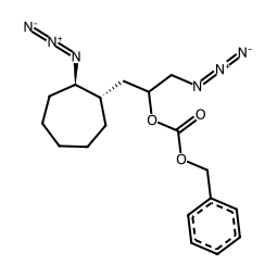 [N-]=[N+]=NCC(C[C@@H]1CCCCC[C@H]1N=[N+]=[N-])OC(=O)OCc1ccccc1